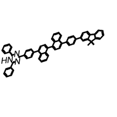 CC1(C)c2ccccc2-c2ccc(-c3ccc(-c4ccc(-c5ccc(-c6ccc(C7=NC(c8ccccc8)NC(c8ccccc8)=N7)cc6)c6ccccc56)c5ccccc45)cc3)cc21